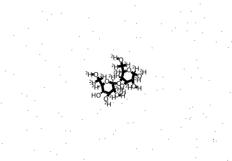 [2H]OC([2H])([2H])[C@@]1([2H])O[C@@]([2H])(O[C@@]2([2H])[C@]([2H])(O[2H])[C@@]([2H])(O[2H])[C@@]([2H])(O[2H])O[C@]2([2H])C([2H])([2H])O[2H])[C@]([2H])(O[2H])[C@@]([2H])(O[2H])[C@H]1O